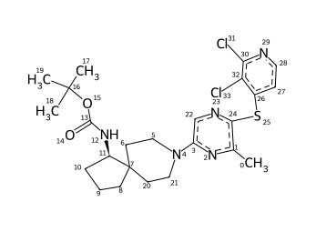 Cc1nc(N2CCC3(CCC[C@H]3NC(=O)OC(C)(C)C)CC2)cnc1Sc1ccnc(Cl)c1Cl